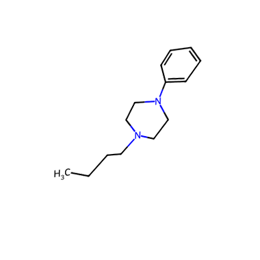 CCCCN1CCN(c2ccccc2)CC1